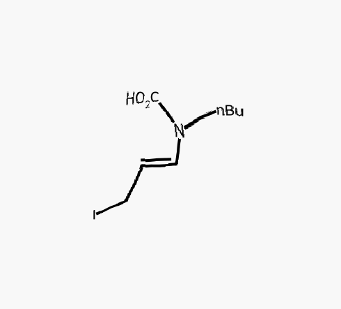 CCCCN(/C=C/CI)C(=O)O